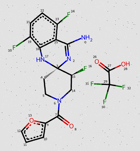 NC1=N[C@]2(CCN(C(=O)c3ccco3)C[C@@H]2F)Nc2c(F)ccc(F)c21.O=C(O)C(F)(F)F